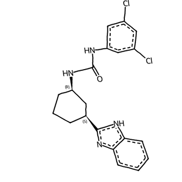 O=C(Nc1cc(Cl)cc(Cl)c1)N[C@@H]1CCC[C@H](c2nc3ccccc3[nH]2)C1